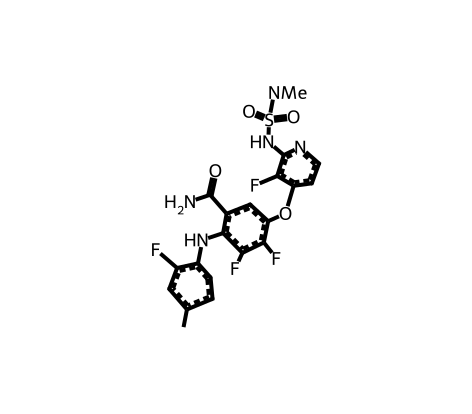 CNS(=O)(=O)Nc1nccc(Oc2cc(C(N)=O)c(Nc3ccc(C)cc3F)c(F)c2F)c1F